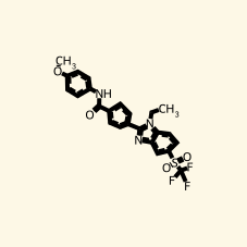 CCn1c(-c2ccc(C(=O)Nc3ccc(OC)cc3)cc2)nc2cc(S(=O)(=O)C(F)(F)F)ccc21